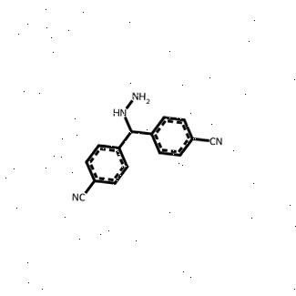 N#Cc1ccc(C(NN)c2ccc(C#N)cc2)cc1